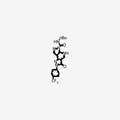 CCCCNC(=O)n1ncc2c3nn(-c4ccc(C(F)(F)F)cc4)c(=O)c-3c[nH]c21